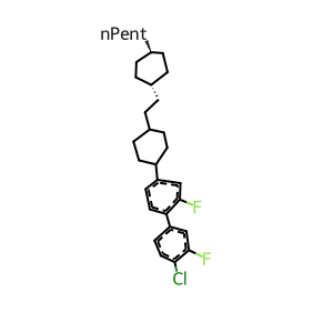 CCCCC[C@H]1CC[C@H](CCC2CCC(c3ccc(-c4ccc(Cl)c(F)c4)c(F)c3)CC2)CC1